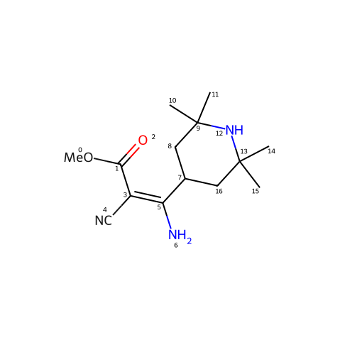 COC(=O)C(C#N)=C(N)C1CC(C)(C)NC(C)(C)C1